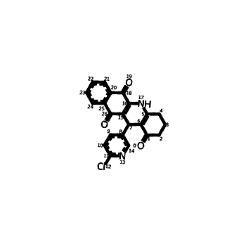 O=C1CCCC2=C1C(c1ccc(Cl)nc1)C1=C(N2)C(=O)c2ccccc2C1=O